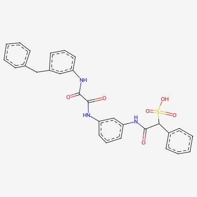 O=C(Nc1cccc(Cc2ccccc2)c1)C(=O)Nc1cccc(NC(=O)C(c2ccccc2)S(=O)(=O)O)c1